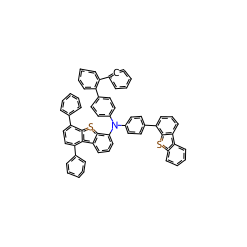 c1ccc(-c2ccccc2-c2ccc(N(c3ccc(-c4cccc5c4sc4ccccc45)cc3)c3cccc4c3sc3c(-c5ccccc5)ccc(-c5ccccc5)c34)cc2)cc1